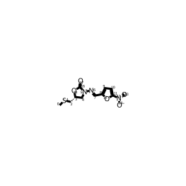 CSC[C@H]1CN(/N=C/c2ccc([N+](=O)[O-])o2)C(=O)O1